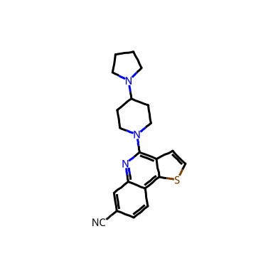 N#Cc1ccc2c(c1)nc(N1CCC(N3CCCC3)CC1)c1ccsc12